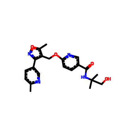 Cc1ccc(-c2noc(C)c2COc2ccc(C(=O)NC(C)(C)CO)cn2)cn1